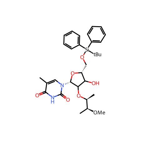 CO[C@@H](C)[C@H](C)OC1C(O)[C@@H](CO[Si](c2ccccc2)(c2ccccc2)C(C)(C)C)O[C@H]1n1cc(C)c(=O)[nH]c1=O